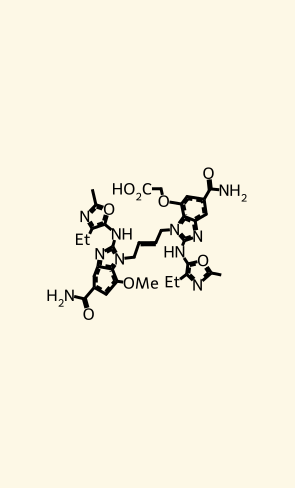 CCc1nc(C)oc1Nc1nc2cc(C(N)=O)cc(OC)c2n1C/C=C/Cn1c(Nc2oc(C)nc2CC)nc2cc(C(N)=O)cc(OCC(=O)O)c21